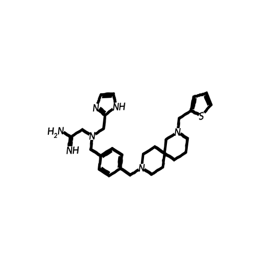 N=C(N)CN(Cc1ccc(CN2CCC3(CCCN(Cc4cccs4)C3)CC2)cc1)Cc1ncc[nH]1